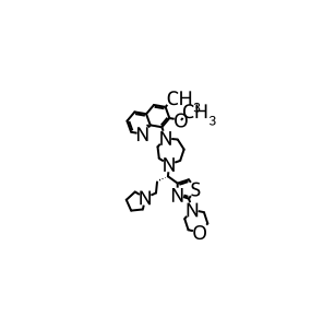 COc1c(C)cc2cccnc2c1N1CCCN([C@@H](CCN2CCCC2)c2csc(N3CCOCC3)n2)CC1